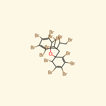 BrCC(Br)CC1(OC2(CC(Br)CBr)C(Br)=C(Br)C(Br)=C(Br)C2Br)C(Br)=C(Br)C(Br)=C(Br)C1Br